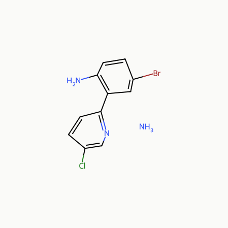 N.Nc1ccc(Br)cc1-c1ccc(Cl)cn1